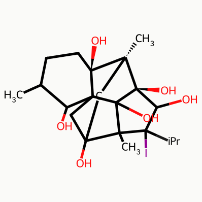 CC1CC[C@@]2(O)C3(CC4(O)C[C@]2(C)[C@]2(O)C(O)C(I)(C(C)C)C4(C)C32O)C1O